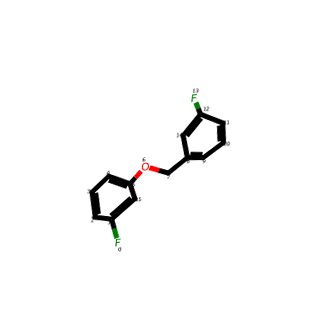 Fc1[c]ccc(OCc2cccc(F)c2)c1